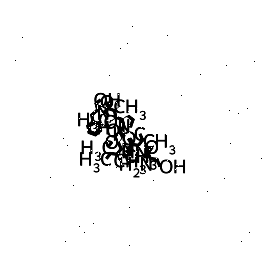 CC[C@H](C)[C@@H]([C@@H](CC(=O)N1CCC[C@H]1[C@H](OC)[C@@H](C)C(=O)N[C@H](CO)Cc1ccccc1)OC)N(C)C(=O)[C@@H](NC(=O)[C@@H](N)CCO)C(C)C